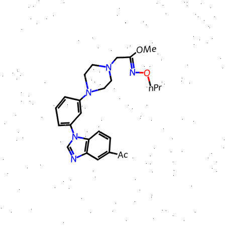 CCCON=C(CN1CCN(c2cccc(-n3cnc4cc(C(C)=O)ccc43)c2)CC1)OC